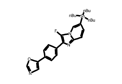 CCC[CH2][Sn]([CH2]CCC)([CH2]CCC)[c]1ccc2nc(-c3ccc(-c4cnco4)cc3)c(F)n2c1